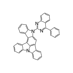 c1ccc(-c2nc(-n3c4ccccc4c4c5c6ccccc6n6c7ccccc7c(cc43)c56)nc3ccccc23)cc1